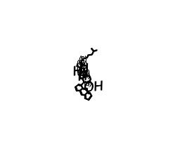 CC(C)CCC[C@@H](C)[C@H]1CC[C@H]2[C@@H]3CC=C4C(c5cccc6cc7ccccc7cc56)[C@@H](O)CC[C@]4(C)[C@H]3CC[C@]12C